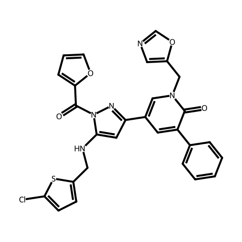 O=C(c1ccco1)n1nc(-c2cc(-c3ccccc3)c(=O)n(Cc3cnco3)c2)cc1NCc1ccc(Cl)s1